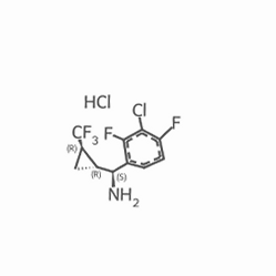 Cl.N[C@H](c1ccc(F)c(Cl)c1F)[C@@H]1C[C@H]1C(F)(F)F